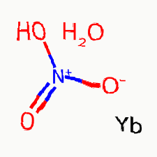 O.O=[N+]([O-])O.[Yb]